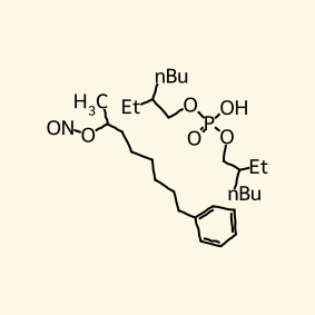 CC(CCCCCCc1ccccc1)ON=O.CCCCC(CC)COP(=O)(O)OCC(CC)CCCC